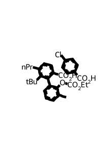 CCCc1ccc(C(=O)O)c(-c2cccc(C)c2OC(=O)OCC)c1C(C)(C)C.O=C(O)c1ccc(Cl)cc1